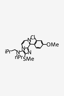 CCCN(CC(C)C)c1c(SC)nc2c(-c3ccc(OC)cc3Cl)nccn12